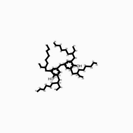 CCCCCCC(CC)Cc1cc(Cc2cc(CC(CC)CCCCCC)c(O)c(CC(CC)CCCCCC)c2)cc(CC(CC)CCCCCC)c1O